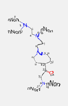 CCCCCCCCCN(CCCCCCCCC)CCN(CCCCCCCCC)CCN1CCC(C(=O)CN(CCCCCCCCC)CCCCCCCCC)CC1